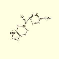 COc1ccc(C(=O)N2CCc3nc[nH]c3C2)cc1